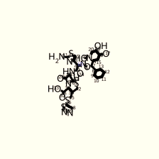 Nc1nc(/C(=N/OC(c2ccccc2)c2cc(=O)c(O)cn2O)C(=O)N[C@@H]2C(=O)N3C(C(=O)O)=C(CSc4cnns4)CS[C@H]23)cs1